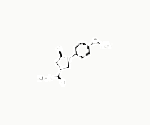 CCCCOc1ccc(N2CC(C(=O)OC)CC2=O)cc1